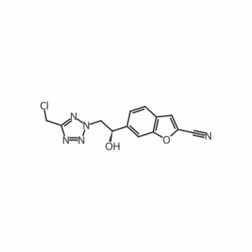 N#Cc1cc2ccc([C@@H](O)Cn3nnc(CCl)n3)cc2o1